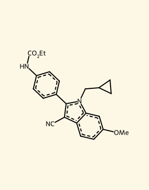 CCOC(=O)Nc1ccc(-c2c(C#N)c3ccc(OC)cc3n2CC2CC2)cc1